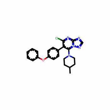 CC1CCN(c2c(-c3ccc(Oc4ccccc4)cc3)c(Cl)nc3ncnn23)CC1